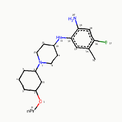 CCCOC1CCCC(N2CCC(Nc3cc(C)c(F)cc3N)CC2)C1